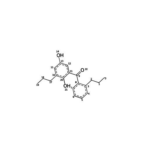 CCCc1ccccc1C(=O)c1cc(O)cc(CCC)c1O